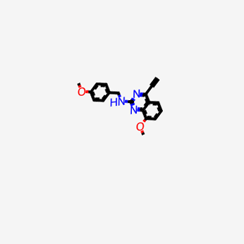 C#Cc1nc(NCc2ccc(OC)cc2)nc2c(OC)cccc12